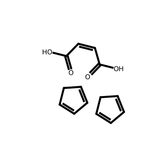 C1=CCC=C1.C1=CCC=C1.O=C(O)/C=C\C(=O)O